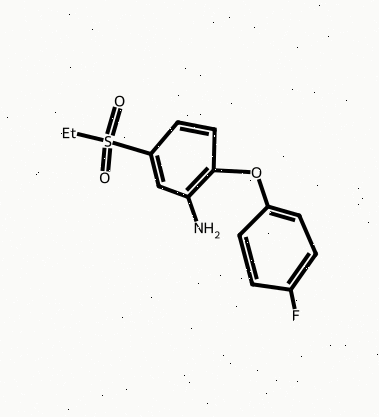 CCS(=O)(=O)c1ccc(Oc2ccc(F)cc2)c(N)c1